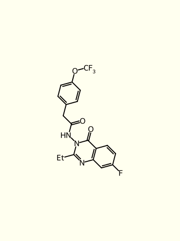 CCc1nc2cc(F)ccc2c(=O)n1NC(=O)Cc1ccc(OC(F)(F)F)cc1